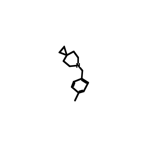 Cc1ccc(CN2CCC3(CC2)CC3)cc1